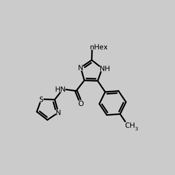 CCCCCCc1nc(C(=O)Nc2nccs2)c(-c2ccc(C)cc2)[nH]1